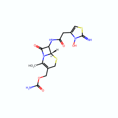 N=c1scc(CC(=O)NC2C(=O)N3C(C(=O)O)=C(COC(N)=O)CS[C@@H]23)n1O